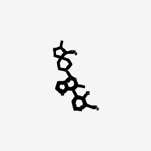 Cc1nc(N2CCC3(CC2)COC(C)C3N)n2ccnc2c1-c1ccnc(N)c1Cl